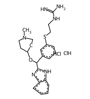 CN1CCC(OC(c2cccc(SCCNC(=N)N)c2)c2nc3ccccc3[nH]2)CC1.Cl.Cl